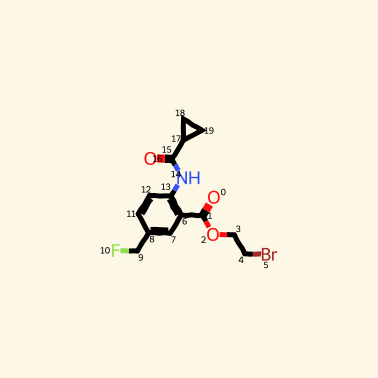 O=C(OCCBr)c1cc(CF)ccc1NC(=O)C1CC1